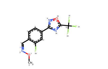 CO/N=C\c1ccc(-c2noc(C(F)(F)F)n2)cc1F